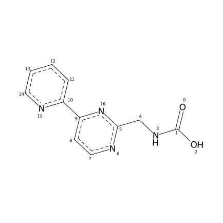 O=C(O)NCc1nccc(-c2ccccn2)n1